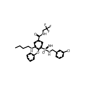 CCCCNc1cc(C(=O)NCC(F)(F)F)cc(S(=N)(=O)NCc2cccc(Cl)c2)c1Oc1ccccc1